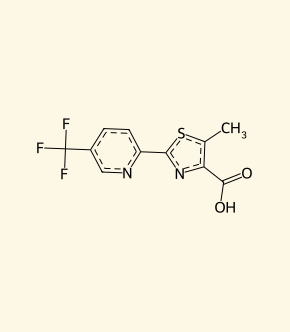 Cc1sc(-c2ccc(C(F)(F)F)cn2)nc1C(=O)O